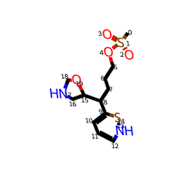 CS(=O)(=O)OCCCC(C1=CC=CNS1)C1CNCO1